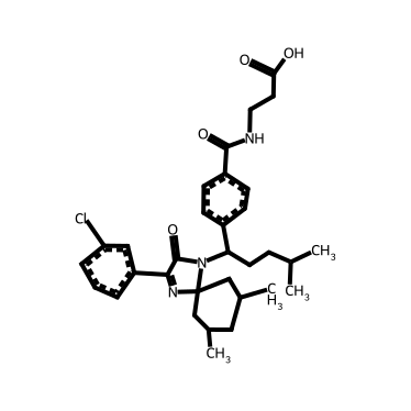 CC(C)CCC(c1ccc(C(=O)NCCC(=O)O)cc1)N1C(=O)C(c2cccc(Cl)c2)=NC12CC(C)CC(C)C2